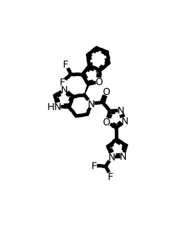 O=C(c1nnc(-c2cnn(C(F)F)c2)o1)N1CCc2[nH]cnc2[C@H]1c1oc2ccccc2c1C(F)F